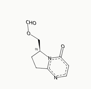 O=COC[C@@H]1CCc2nccc(=O)n21